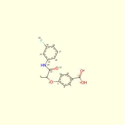 CC(Oc1ccc(C(=O)O)cc1)C(=O)Nc1cccc(F)c1